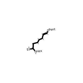 [CH2]CCCCC=CCCCCC(CC)CCCCC[CH2]